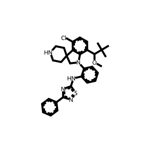 COC(c1ccc(Cl)c2c1N(c1ccccc1Nc1nc(-c3ccccc3)ns1)CC21CCNCC1)C(C)(C)C